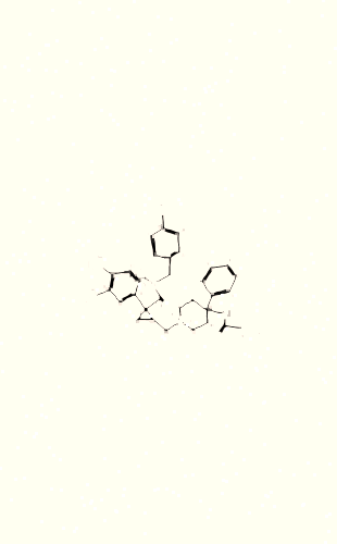 CC(=O)NC1(c2ccccc2)CCN(CC2CC2(C(=O)N(C)Cc2ccc(F)cc2)c2ccc(C)c(C)c2)CC1